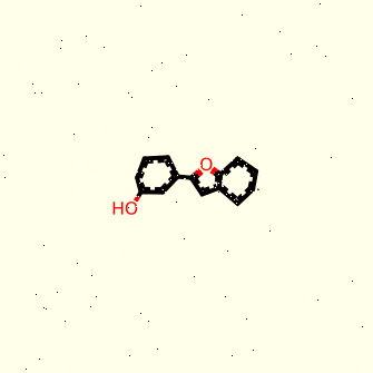 Oc1cccc(-c2cc3c[c]ccc3o2)c1